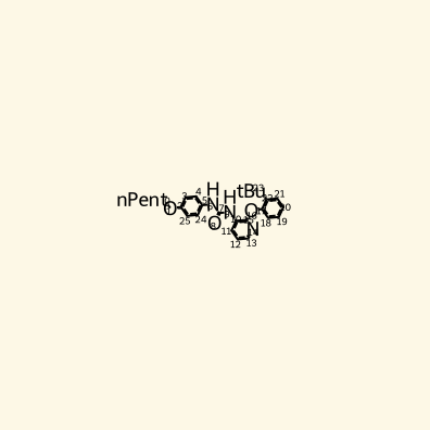 CCCCCOc1ccc(NC(=O)Nc2cccnc2Oc2ccccc2C(C)(C)C)cc1